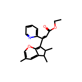 CCOC(=O)C=C(C1=C2OC=C(C)C=C2C(C)C1C)c1ccccn1